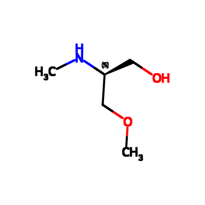 CN[C@@H](CO)COC